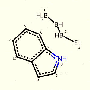 BBBCC.c1ccc2[nH]ccc2c1